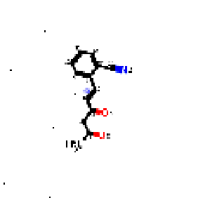 CC(=O)CC(=O)/C=C/c1ccccc1C#N